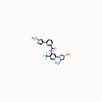 C[C@@H]1C[C@@H](O)CN1c1cc(NC(=O)c2cccc(-c3cnn(C)c3)n2)c(C(F)(F)F)cn1